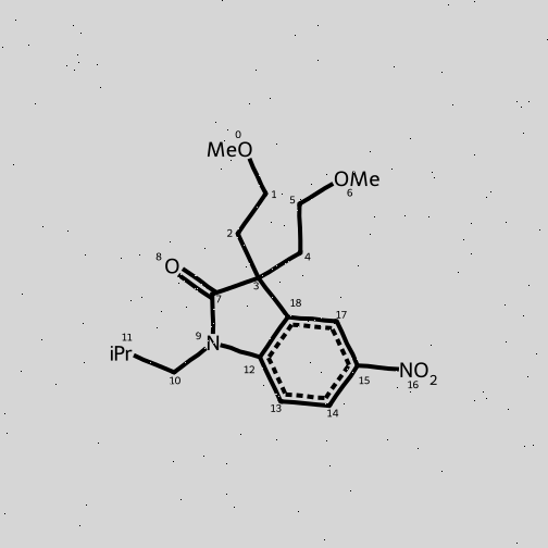 COCCC1(CCOC)C(=O)N(CC(C)C)c2ccc([N+](=O)[O-])cc21